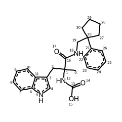 CC(Cc1c[nH]c2ccccc12)(NC(=O)O)C(=O)NCC1(c2ccccc2)CCCC1